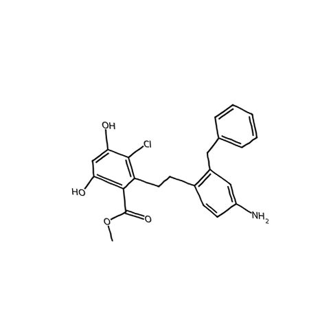 COC(=O)c1c(O)cc(O)c(Cl)c1CCc1ccc(N)cc1Cc1ccccc1